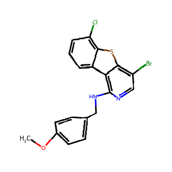 COc1ccc(CNc2ncc(Br)c3sc4c(Cl)cccc4c23)cc1